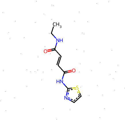 CCNC(=O)/C=C/C(=O)Nc1nccs1